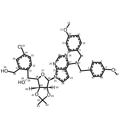 COc1ccc(CN(Cc2ccc(OC)cc2)c2ncnc3c2ccn3[C@@H]2O[C@H]([C@H](O)c3ccc(Cl)cc3CO)[C@H]3OC(C)(C)O[C@H]32)cc1